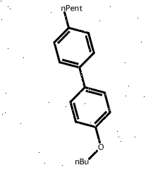 CCCCCc1ccc(-c2ccc(OCCCC)cc2)cc1